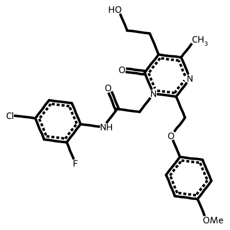 COc1ccc(OCc2nc(C)c(CCO)c(=O)n2CC(=O)Nc2ccc(Cl)cc2F)cc1